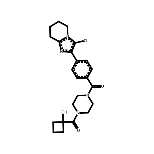 O=C(c1ccc(-c2nc3n(c2Cl)CCCC3)cc1)N1CCN(C(=O)C2(O)CCC2)CC1